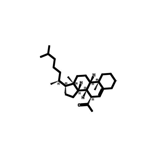 CC(=O)[C@H]1C=C2C[CH]CC[C@]2(C)[C@H]2CC[C@]3(C)[C@@H]([C@H](C)CCCC(C)C)CC[C@H]3[C@H]12